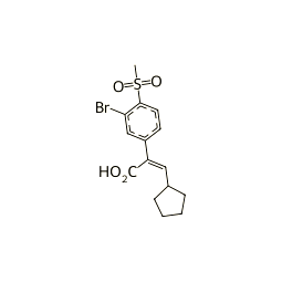 CS(=O)(=O)c1ccc(C(=CC2CCCC2)C(=O)O)cc1Br